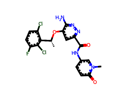 C[C@@H](Oc1cc(C(=O)Nc2ccc(=O)n(C)c2)nnc1N)c1c(Cl)ccc(F)c1Cl